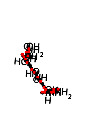 CCCCCC(NCNc1ccc(CC(C)N)cc1)C(O)CCCCCCCCCCC(=O)NCCNC(=O)CCCCCCCCCCC(O)C(CCCCC)NCNc1ccc(CC(N)C(=O)O)cc1